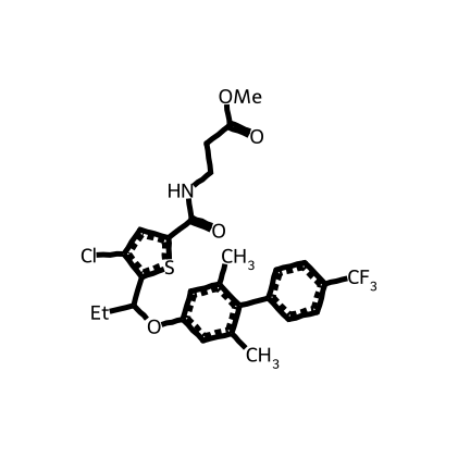 CCC(Oc1cc(C)c(-c2ccc(C(F)(F)F)cc2)c(C)c1)c1sc(C(=O)NCCC(=O)OC)cc1Cl